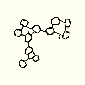 C1=Cc2c(n(-c3ccccc3)c3ccc(-c4cc5c6c(c4)c4cc(-c7ccc8c(c7)-c7cccc(c7)-c7ccccc7-c7ccccc7N8)ccc4n6-c4ccccc4-c4ccccc4-5)cc23)C=1